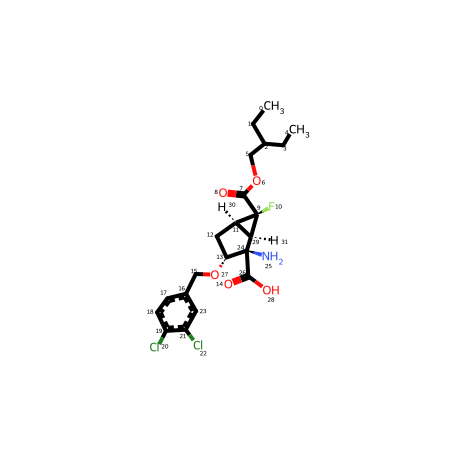 CCC(CC)COC(=O)[C@@]1(F)[C@@H]2C[C@@H](OCc3ccc(Cl)c(Cl)c3)[C@@](N)(C(=O)O)[C@@H]21